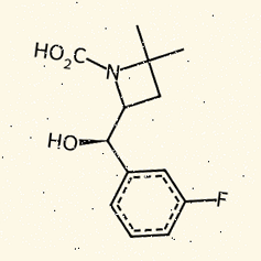 CC1(C)CC([C@H](O)c2cccc(F)c2)N1C(=O)O